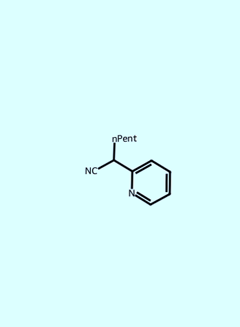 CCCCCC(C#N)c1ccccn1